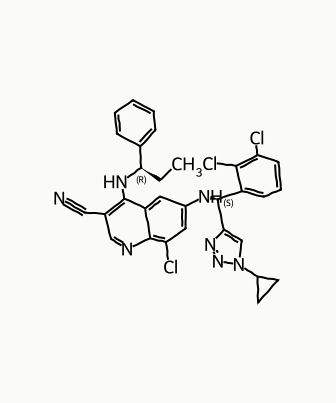 CC[C@@H](Nc1c(C#N)cnc2c(Cl)cc(N[C@H](c3cn(C4CC4)nn3)c3cccc(Cl)c3Cl)cc12)c1ccccc1